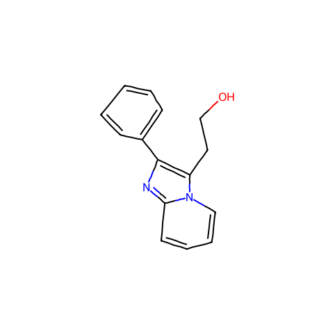 OCCc1c(-c2ccccc2)nc2ccccn12